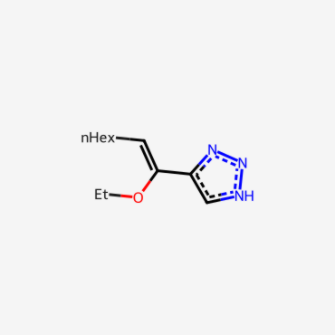 CCCCCCC=C(OCC)c1c[nH]nn1